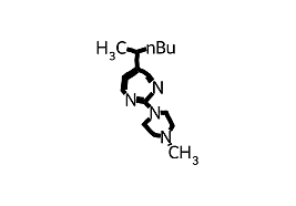 CCCCC(C)C1=C=CN=C(N2CCN(C)CC2)N=C1